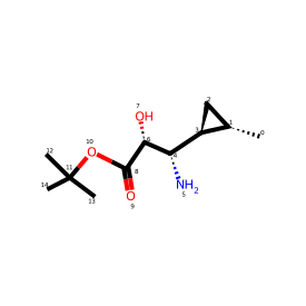 C[C@H]1C[C@@H]1[C@H](N)[C@@H](O)C(=O)OC(C)(C)C